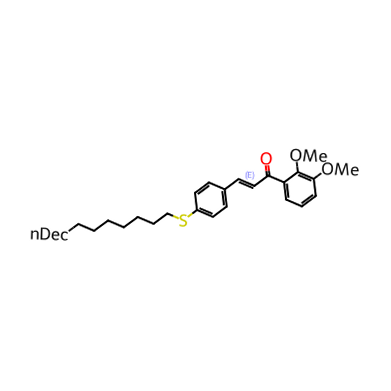 CCCCCCCCCCCCCCCCCSc1ccc(/C=C/C(=O)c2cccc(OC)c2OC)cc1